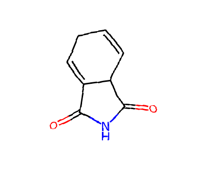 O=C1NC(=O)C2C=CCC=C12